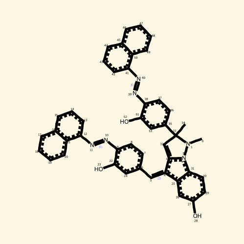 CN1n2c(/c(=C\c3ccc(/N=N/c4cccc5ccccc45)c(O)c3)c3cc(O)ccc32)=CC1(C)c1ccc(/N=N/c2cccc3ccccc23)c(O)c1